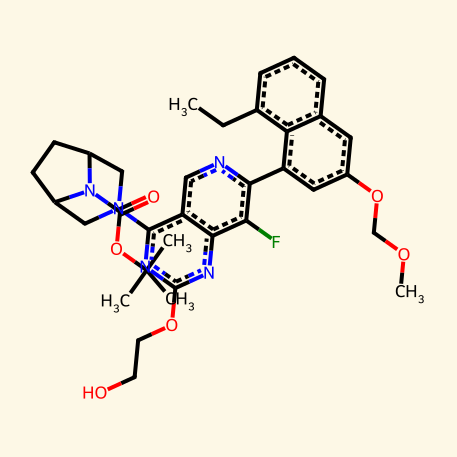 CCc1cccc2cc(OCOC)cc(-c3ncc4c(N5CC6CCC(C5)N6C(=O)OC(C)(C)C)nc(OCCO)nc4c3F)c12